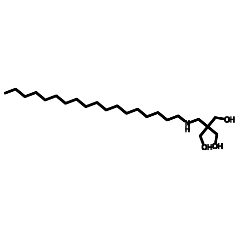 CCCCCCCCCCCCCCCCCCNCC(CO)(CO)CO